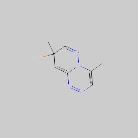 CC1=CN=NC2=CC(C)(P)C=NN12